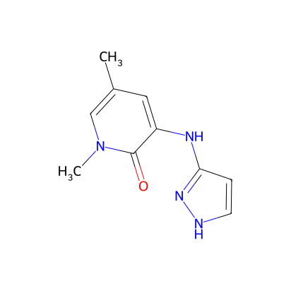 Cc1cc(Nc2cc[nH]n2)c(=O)n(C)c1